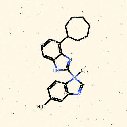 Cc1ccc2c(c1)N=[C][N+]2(C)c1nc2c(C3CCCCCC3)cccc2[nH]1